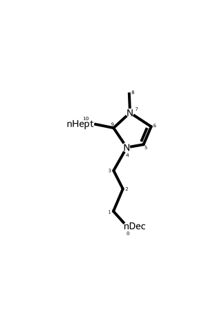 CCCCCCCCCCCCCN1C=CN(C)C1CCCCCCC